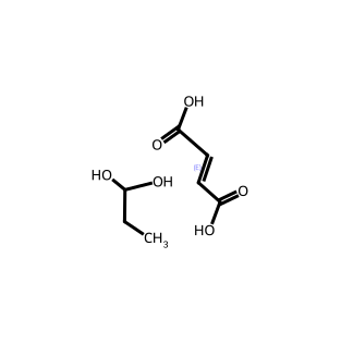 CCC(O)O.O=C(O)/C=C/C(=O)O